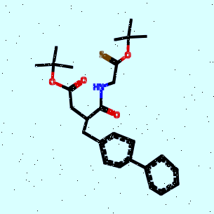 CC(C)(C)OC(=O)CC(Cc1ccc(-c2ccccc2)cc1)C(=O)NCC(=S)OC(C)(C)C